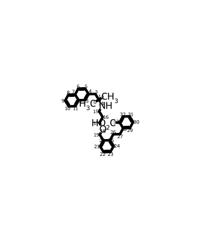 CC(C)(Cc1ccc2ccccc2c1)NCCCOCc1ccccc1CCc1ccccc1C(=O)O